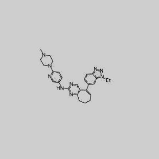 CCn1nnc2ccc(C3=CCCCc4nc(Nc5ccc(N6CCN(C)CC6)nc5)ncc43)cc21